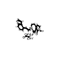 CN1CCC2(CCN(CCC3CCCc4sccc43)CC2)C1=O.O=C(O)C(=O)O